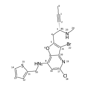 CC#C[C@@H](Cc1oc2c(NCc3cccs3)cc(Cl)nc2c1Br)NC